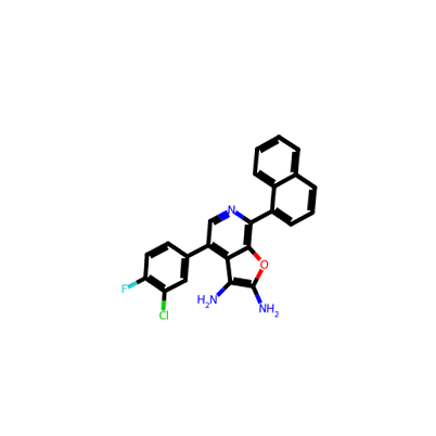 Nc1oc2c(-c3cccc4ccccc34)ncc(-c3ccc(F)c(Cl)c3)c2c1N